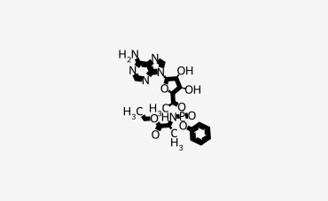 CCOC(=O)[C@H](C)NP(=O)(Oc1ccccc1)O[C@@H](C)[C@H]1O[C@@H](n2cnc3c(N)ncnc32)[C@H](O)[C@@H]1O